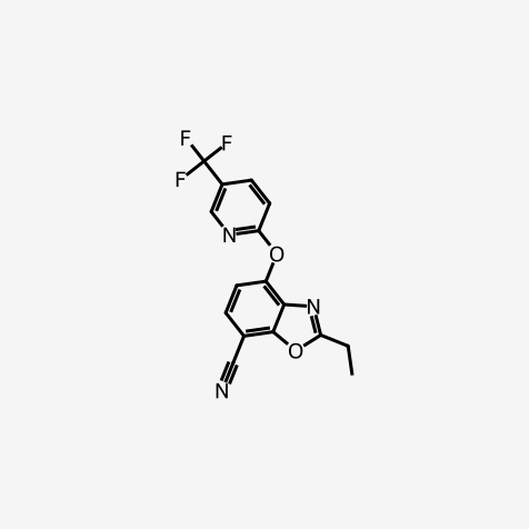 CCc1nc2c(Oc3ccc(C(F)(F)F)cn3)ccc(C#N)c2o1